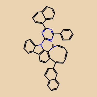 c1ccc(-c2nc(-c3cccc4ccccc34)nc(-n3c4ccccc4c4ccc5c(-c6ccc7ccccc7c6)ccccc[nH]c5c43)n2)cc1